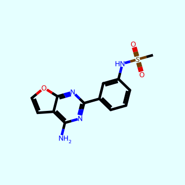 CS(=O)(=O)Nc1cccc(-c2nc(N)c3ccoc3n2)c1